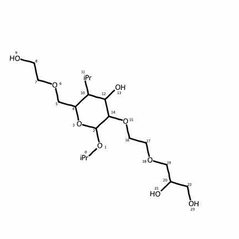 CC(C)OC1OC(COCCO)C(C(C)C)C(O)C1OCCOCC(O)CO